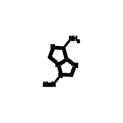 CNn1cnc2c(N)ncn21